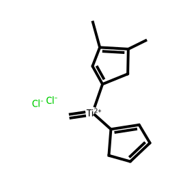 [CH2]=[Ti+2]([C]1=CC=CC1)[C]1=CC(C)=C(C)C1.[Cl-].[Cl-]